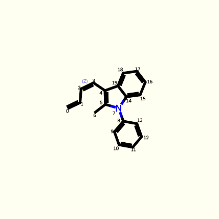 C=C/C=C\c1c(C)n(-c2ccccc2)c2ccccc12